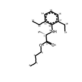 CCCCOC(=O)[C@H](C)Nc1c(CC)cccc1CC